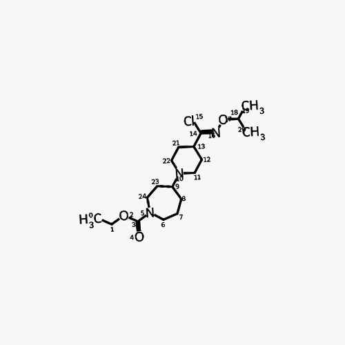 CCOC(=O)N1CCCC(N2CCC(/C(Cl)=N/OC(C)C)CC2)CC1